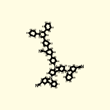 N#Cc1ccc2c(c1)c1ccccc1n2-c1ccc2c(c1)c1cc(-n3c4ccccc4c4cc(C#N)ccc43)ccc1n2-c1ccc(-c2ccc(-c3ccc(-c4cc(-c5ccccc5)nc(-c5ccccc5)n4)cc3)c(C#N)c2)cc1